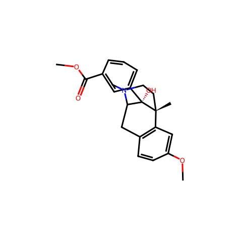 COC(=O)c1cccc([C@]2(O)C3Cc4ccc(OC)cc4[C@@]2(C)CCN3C)c1